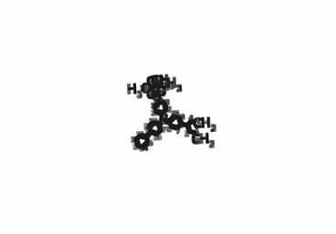 C=C/C=C(\C=C)c1ccc(N(c2ccc(B3OC(C)(C)C(C)(C)O3)cc2)c2ccc(-c3ccccc3)cc2)cc1